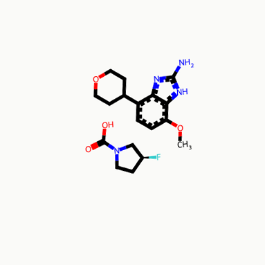 COc1ccc(C2CCOCC2)c2nc(N)[nH]c12.O=C(O)N1CC[C@H](F)C1